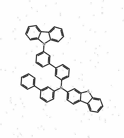 c1ccc(-c2cccc(N(c3cccc(-c4cccc(-n5c6ccccc6c6ccccc65)c4)c3)c3ccc4c(c3)sc3ccccc34)c2)cc1